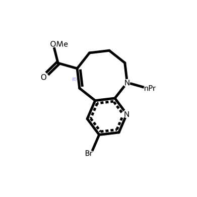 CCCN1CCC/C(C(=O)OC)=C\c2cc(Br)cnc21